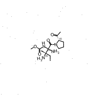 CC[C@](C)(N)[C@](N)(NC(=O)OC)C(=O)N1CCC[C@H]1C(C)=O